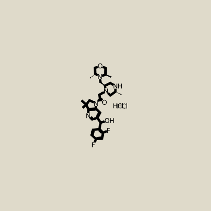 C[C@@H]1CN(CC(=O)N2CC(C)(C)c3ncc(C(O)c4ccc(F)cc4F)cc32)[C@@H](CN2[C@H](C)COC[C@H]2C)CN1.Cl.Cl